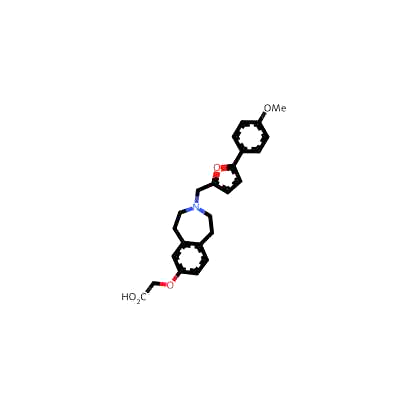 COc1ccc(-c2ccc(CN3CCc4ccc(OCC(=O)O)cc4CC3)o2)cc1